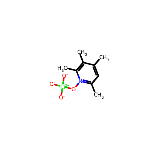 Cc1cc(C)[n+](O[Cl+3]([O-])([O-])[O-])c(C)c1C